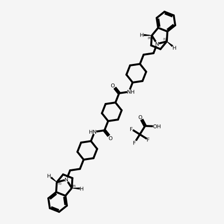 O=C(NC1CCC(CCN2[C@@H]3CC[C@H]2c2ccccc23)CC1)C1CCC(C(=O)NC2CCC(CCN3[C@@H]4CC[C@H]3c3ccccc34)CC2)CC1.O=C(O)C(F)(F)F